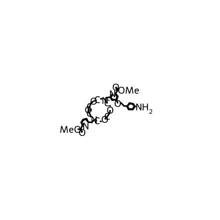 COC(=O)c1cccc(CN2CCOCCOCCN(Cc3cc(OCCc4ccc(N)cc4)cc(C(=O)OC)n3)CCOCCOCC2)n1